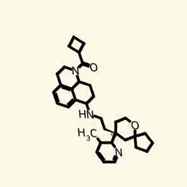 CC1C=CC=NC1[C@]1(CCNC2CCC3c4c(cccc42)CCN3C(=O)C2CCC2)CCOC2(CCCC2)C1